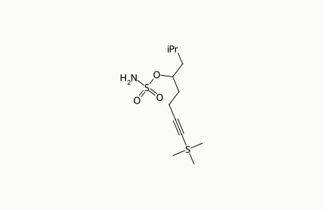 CC(C)CC(CCC#CS(C)(C)C)OS(N)(=O)=O